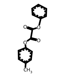 Cc1ccc(OC(=O)C(=O)Oc2ccccc2)cc1